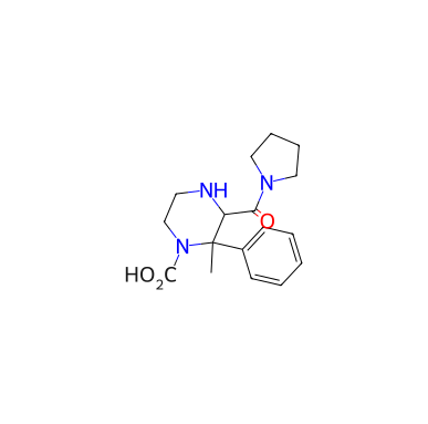 CC1(c2ccccc2)C(C(=O)N2CCCC2)NCCN1C(=O)O